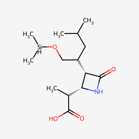 CC(C)CC(CO[SiH](C)C)[C@@H]1C(=O)N[C@@H]1C(C)C(=O)O